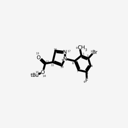 Cc1c(Br)cc(F)cc1-n1cc(C(=O)OC(C)(C)C)cn1